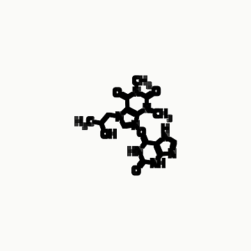 CC(O)Cn1cnc2c1c(=O)n(C)c(=O)n2C.O=c1[nH]c(=O)c2[nH]cnc2[nH]1